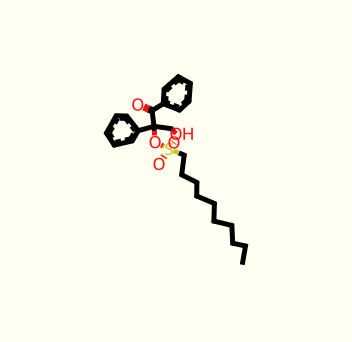 CCCCCCCCCCS(=O)(=O)OC(CO)(C(=O)c1ccccc1)c1ccccc1